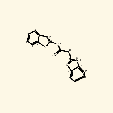 O=C(Oc1nc2ccccc2[nH]1)Oc1nc2ccccc2[nH]1